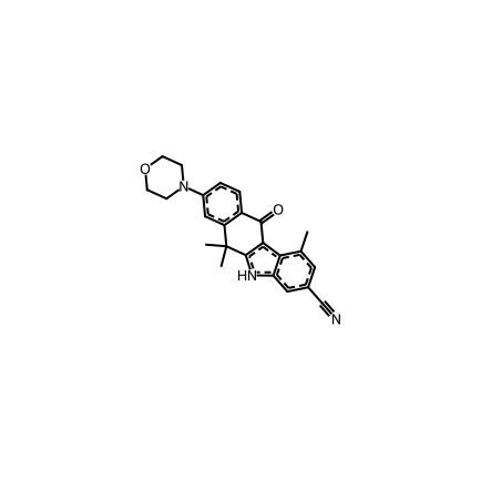 Cc1cc(C#N)cc2[nH]c3c(c12)C(=O)c1ccc(N2CCOCC2)cc1C3(C)C